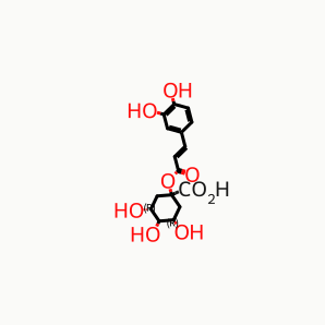 O=C(C=Cc1ccc(O)c(O)c1)OC1(C(=O)O)C[C@@H](O)C(O)[C@H](O)C1